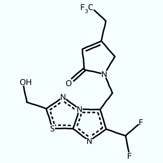 O=C1C=C(CC(F)(F)F)CN1Cc1c(C(F)F)nc2sc(CO)nn12